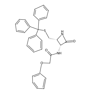 O=C(COc1ccccc1)N[C@H]1C(=O)N[C@H]1CSC(c1ccccc1)(c1ccccc1)c1ccccc1